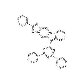 c1ccc(-c2nc(-c3ccccc3)nc(-n3c4ccccc4c4cc5nc(-c6ccccc6)oc5cc43)n2)cc1